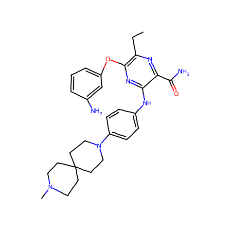 CCc1nc(C(N)=O)c(Nc2ccc(N3CCC4(CCN(C)CC4)CC3)cc2)nc1Oc1cccc(N)c1